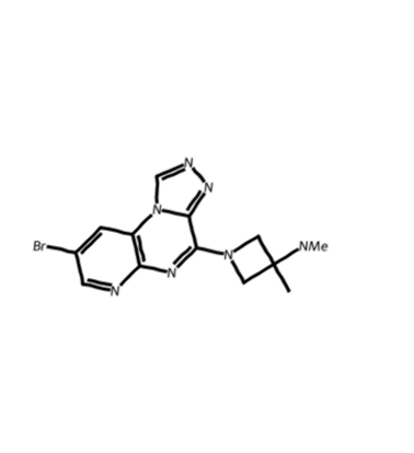 CNC1(C)CN(c2nc3ncc(Br)cc3n3cnnc23)C1